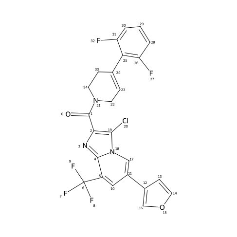 O=C(c1nc2c(C(F)(F)F)cc(-c3ccoc3)cn2c1Cl)N1CC=C(c2c(F)cccc2F)CC1